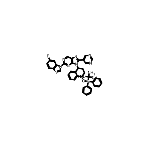 CC(C)(C)[Si](O[C@@H]1CCC(n2c(-c3cncnc3)nc3cnc(-n4cnc5ccc(F)cc54)nc32)c2ccccc21)(c1ccccc1)c1ccccc1